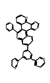 c1ccc(-c2nc3cc(-c4cc(-c5cccnc5)cc(-c5cccnc5)c4)ccc3c3c4cccnc4c4ncccc4c23)cc1